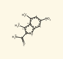 Cc1cc([N+](=O)[O-])cc2oc(C(N)=O)c(C)c12